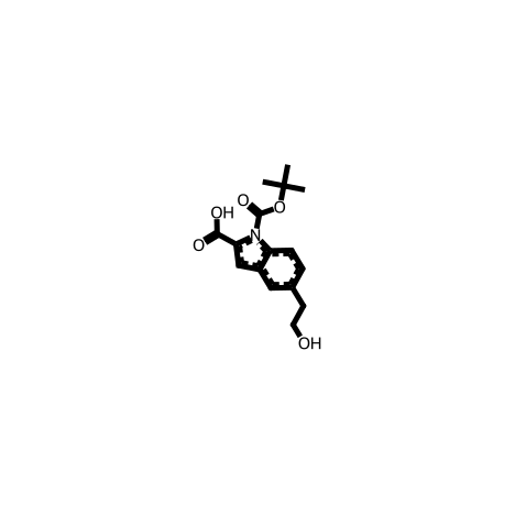 CC(C)(C)OC(=O)n1c(C(=O)O)cc2cc(CCO)ccc21